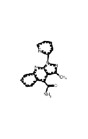 Cc1nn(-c2ccccn2)c2nc3ccccc3c(C(N)=O)c12